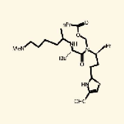 CCCC(=O)OCN(C(=O)[C@@H](NC(C)CCCCNC)C(C)CC)[C@H](CCC1NC(C=O)=CS1)C(C)C